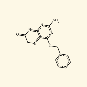 Nc1nc(OCc2ccccc2)c2c(n1)=NC(=O)CN=2